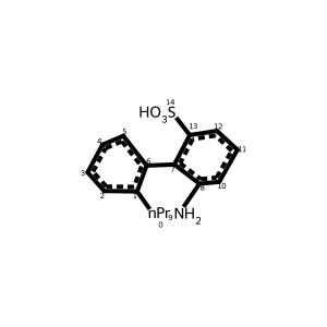 CCCc1ccccc1-c1c(N)cccc1S(=O)(=O)O